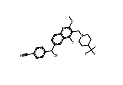 COc1nc2ccc(C(O)c3ccc(C#N)cc3)cc2c(Cl)c1CN1CCC(C(F)(F)F)CC1